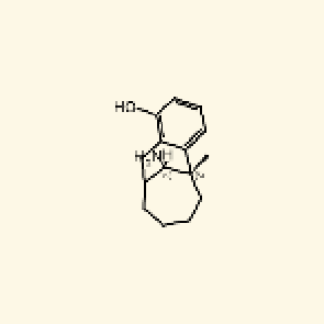 C[C@]12CCCCC(Cc3c(O)cccc31)[C@@H]2N